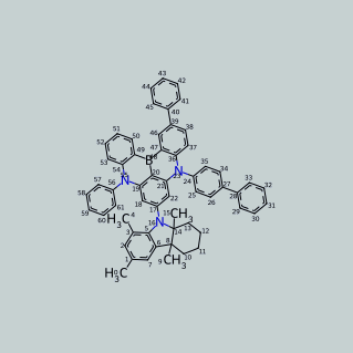 Cc1cc(C)c2c(c1)C1(C)CCCCC1(C)N2c1cc2c3c(c1)N(c1ccc(-c4ccccc4)cc1)c1ccc(-c4ccccc4)cc1B3c1ccccc1N2c1ccccc1